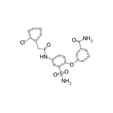 NC(=O)c1cccc(Oc2ccc(NC(=O)Cc3ccccc3Cl)cc2S(N)(=O)=O)c1